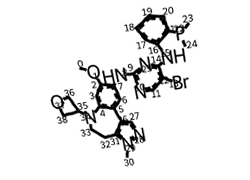 COc1cc2c(cc1Nc1ncc(Br)c(Nc3ccccc3P(C)C)n1)-c1cnn(C)c1CCN2C1COC1